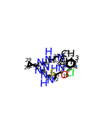 Cc1cccc(Cl)c1NC(=O)c1cnc(Nc2nc(NCCN(C)C)nc(C3CC3)n2)s1